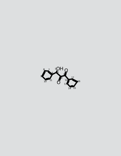 O=C(C(=O)C(O)c1ccccc1)c1ccccc1